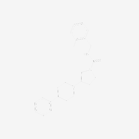 O=C(NCc1ccccc1F)N1CCC(N2CCC(c3ccccc3)CC2)C1